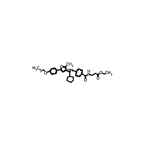 CCOC(=O)CCNC(=O)c1ccc(NC(c2cc(-c3ccc(OCSC)cc3)oc2C)C2CCCCC2)cc1